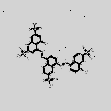 O=S(=O)(O)c1cc(O)c2c(N=Nc3ccc(N=Nc4ccc(O)c5cc(S(=O)(=O)O)ccc45)c4cc(S(=O)(=O)O)ccc34)cc(S(=O)(=O)O)cc2c1